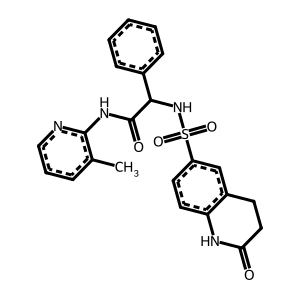 Cc1cccnc1NC(=O)C(NS(=O)(=O)c1ccc2c(c1)CCC(=O)N2)c1ccccc1